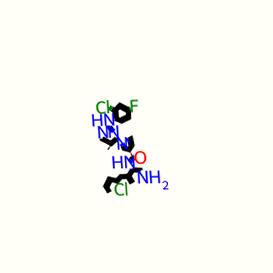 C=C(C[C@@H](Cl)/C=C\C)C(CN)NC(=O)[C@H]1C=CN(C2=NC(Nc3ccc(F)cc3Cl)=NC[C@H]2C)C1